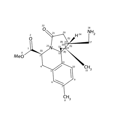 COC(=O)[C@@H]1Cc2cc(C)ccc2[C@@]23C[C@H](C)[C@@H](CN)[C@@H]2CC(=O)N13